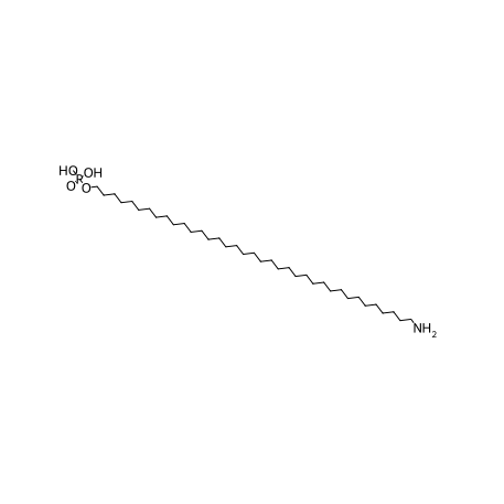 NCCCCCCCCCCCCCCCCCCCCCCCCCCCCCCCCCCCCCOP(=O)(O)O